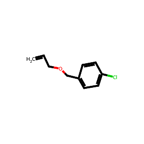 C=CCOCc1ccc(Cl)cc1